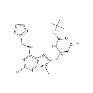 COC[C@@H](Cc1sc2c(NCc3ccco3)nc(Cl)nc2c1C)NC(=O)OC(C)(C)C